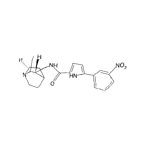 C[C@H]1[C@H](NC(=O)c2ccc(-c3cccc([N+](=O)[O-])c3)[nH]2)C2CCN1CC2